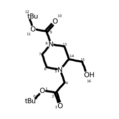 CC(C)(C)OC(=O)CN1CCN(C(=O)OC(C)(C)C)CC1CO